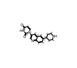 O=c1ccn(-c2cnc3ccc(C4CCNCC4)cc3c2)c(=O)[nH]1